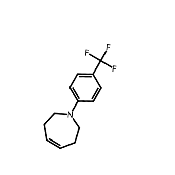 FC(F)(F)c1ccc(N2CCC=CCC2)cc1